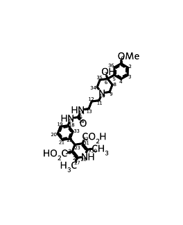 COc1cccc(C2(O)CCN(CCCNC(=O)Nc3cccc(C4C(C(=O)O)=C(C)NC(C)=C4C(=O)O)c3)CC2)c1